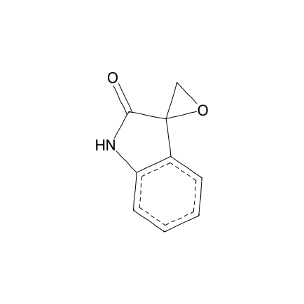 O=C1Nc2ccccc2C12CO2